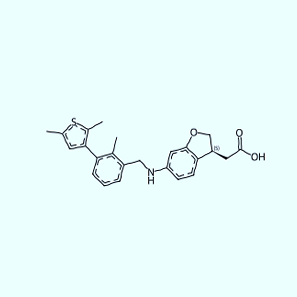 Cc1cc(-c2cccc(CNc3ccc4c(c3)OC[C@H]4CC(=O)O)c2C)c(C)s1